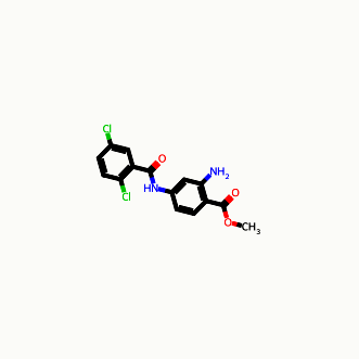 COC(=O)c1ccc(NC(=O)c2cc(Cl)ccc2Cl)cc1N